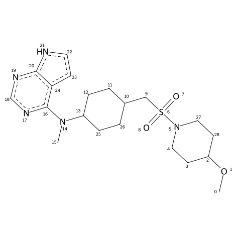 COC1CCN(S(=O)(=O)CC2CCC(N(C)c3ncnc4[nH]ccc34)CC2)CC1